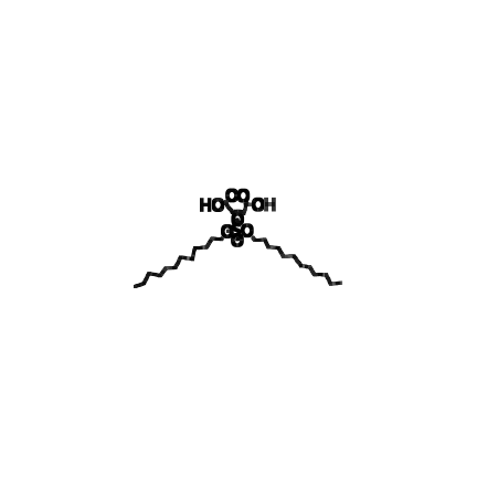 CCCCCCCCCCCCOS(=O)(=O)OCCCCCCCCCCCC.O=C(O)/C=C\C(=O)O